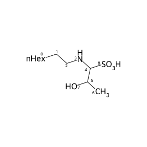 CCCCCCCCNC(C(C)O)S(=O)(=O)O